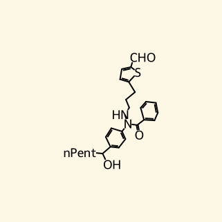 CCCCCC(O)c1ccc(N(NCCCc2ccc(C=O)s2)C(=O)c2ccccc2)cc1